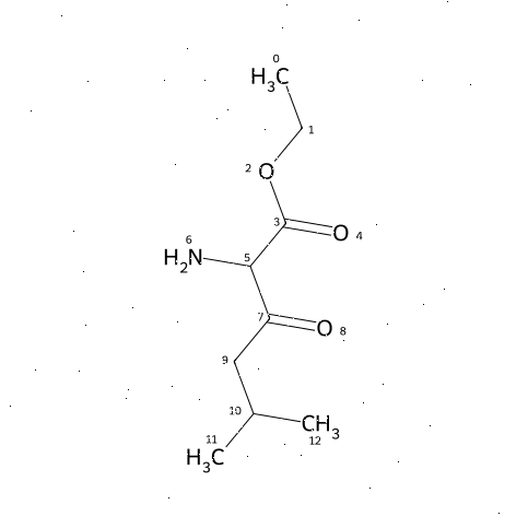 CCOC(=O)C(N)C(=O)CC(C)C